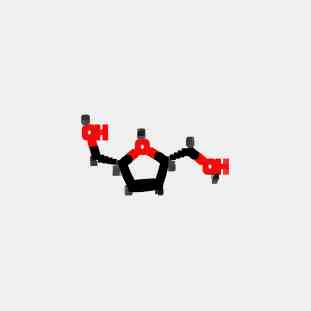 OC[C@H]1C=C[C@@H](CO)O1